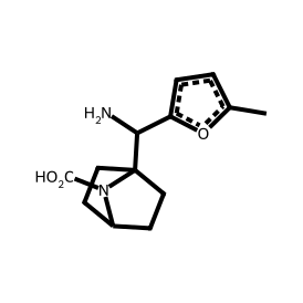 Cc1ccc(C(N)C23CCC(CC2)N3C(=O)O)o1